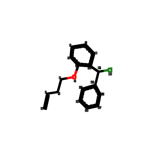 C=CCCOc1ccccc1C(Cl)c1ccccc1